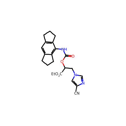 CCOC(=O)C(Cn1cnc(C#N)c1)OC(=O)Nc1c2c(cc3c1CCC3)CCC2